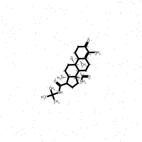 CC(C)(C)NC(=O)C1CC[C@H]2[C@]3(C(N)=O)CCC4=C(N)C(=O)CC[C@]4(C)[C@@H]3CC[C@]12C